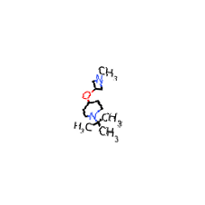 CN1CC(OC2CCN(C(C)(C)C)CC2)C1